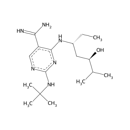 CC[C@H](C[C@@H](O)C(C)C)Nc1nc(NC(C)(C)C)ncc1C(=N)N